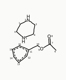 C1CNCCN1.CC(=O)OCc1ccccc1